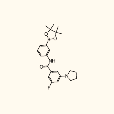 CC1(C)OB(c2cccc(NC(=O)c3cc(F)cc(N4CCCC4)c3)c2)OC1(C)C